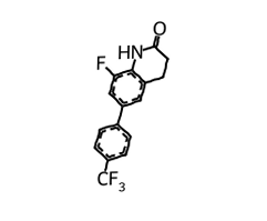 O=C1CCc2cc(-c3ccc(C(F)(F)F)cc3)cc(F)c2N1